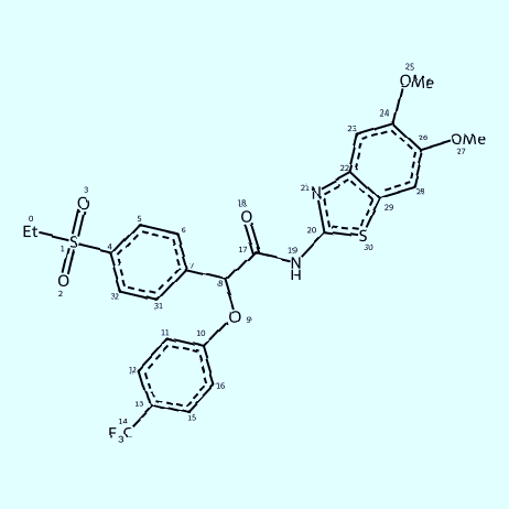 CCS(=O)(=O)c1ccc(C(Oc2ccc(C(F)(F)F)cc2)C(=O)Nc2nc3cc(OC)c(OC)cc3s2)cc1